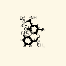 CCN(C)C(=N)c1cc(Br)c(O[C@H](C)c2cc(F)cc(F)c2)nc1C